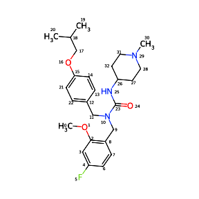 COc1cc(F)ccc1CN(Cc1ccc(OCC(C)C)cc1)C(=O)NC1CCN(C)CC1